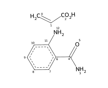 C=CC(=O)O.NC(=O)c1ccccc1N